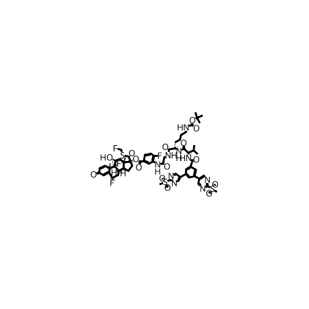 CC(C)[C@H](NC(=O)c1cc(-c2cnc(S(C)(=O)=O)nc2)cc(-c2cnc(S(C)(=O)=O)nc2)c1)C(=O)N[C@@H](CCCCNC(=O)OC(C)(C)C)C(=O)NCC(=O)Nc1cc(C(=O)O[C@]2(C(=O)SCF)CC[C@H]3[C@@H]4C[C@H](F)C5=CC(=O)C=C[C@]5(C)[C@@]4(F)[C@@H](O)C[C@@]32C)ccc1F